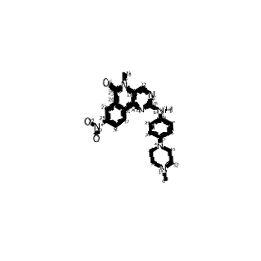 CN1CCN(c2ccc(Nc3ncc4c(n3)c3ccc([N+](=O)[O-])cc3c(=O)n4C)cc2)CC1